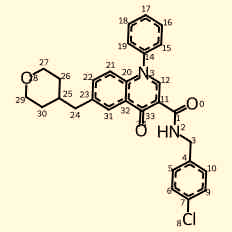 O=C(NCc1ccc(Cl)cc1)c1cn(-c2ccccc2)c2ccc(CC3CCOCC3)cc2c1=O